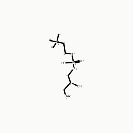 CC(=O)OC[C@H](O)COP(=O)([O-])OCC[N+](C)(C)C